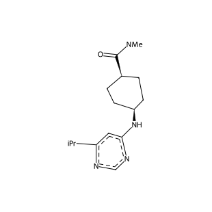 CNC(=O)[C@H]1CC[C@@H](Nc2cc(C(C)C)ncn2)CC1